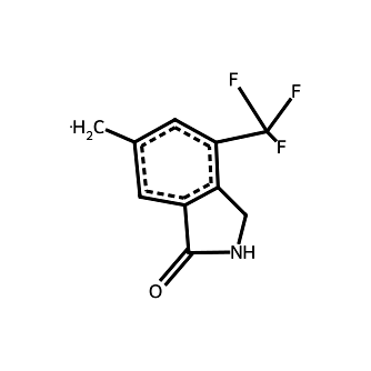 [CH2]c1cc2c(c(C(F)(F)F)c1)CNC2=O